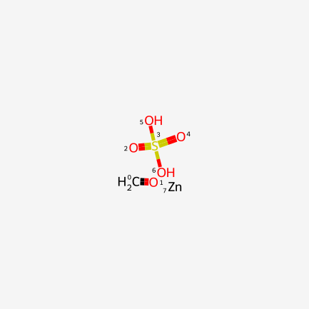 C=O.O=S(=O)(O)O.[Zn]